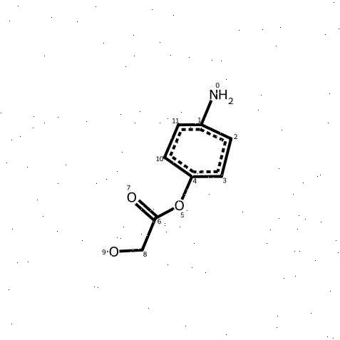 Nc1ccc(OC(=O)C[O])cc1